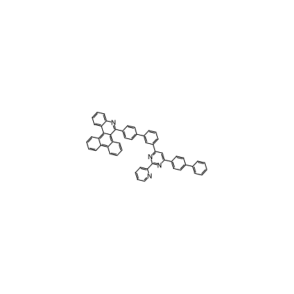 c1ccc(-c2ccc(-c3cc(-c4cccc(-c5ccc(-c6nc7ccccc7c7c8ccccc8c8ccccc8c67)cc5)c4)nc(-c4ccccn4)n3)cc2)cc1